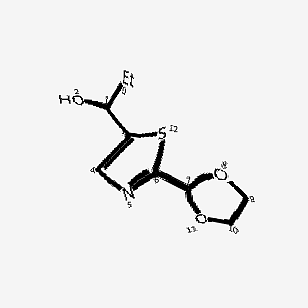 CCC(O)c1cnc(C2OCCO2)s1